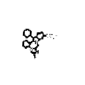 Cc1cn2c(n1)CN1C(=C(C3CCCCC3)C3C=CC(C(=O)O)=CC31)c1ccccc1-2